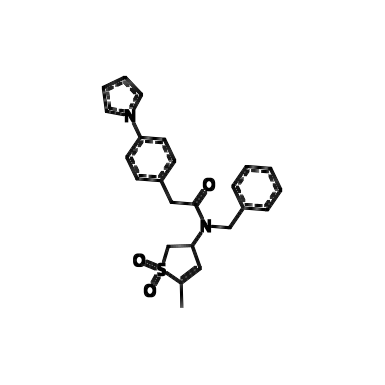 CC1=CC(N(Cc2ccccc2)C(=O)Cc2ccc(-n3cccc3)cc2)CS1(=O)=O